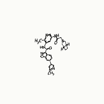 Cc1ncc(NC(=O)CN2C[C@H]3CC[C@H]3C2)cc1NC(=O)c1noc2cc(-c3cnn(C)c3)ccc12